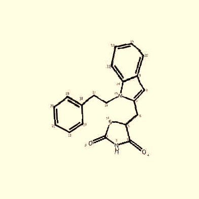 O=C1NC(=O)C(Cc2cc3ccccc3n2CCc2ccccc2)S1